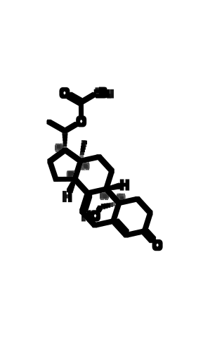 CC(OC(=O)C(C)(C)C)[C@H]1CC[C@H]2C3=CCC4=CC(=O)CC[C@]4(CO)[C@H]3CC[C@]12C